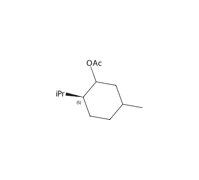 CC(=O)OC1CC(C)CC[C@H]1C(C)C